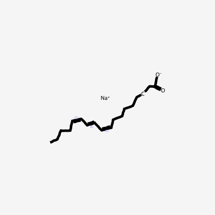 CCCC\C=C/C=C/C=C\CCCCCCCC(=O)[O-].[Na+]